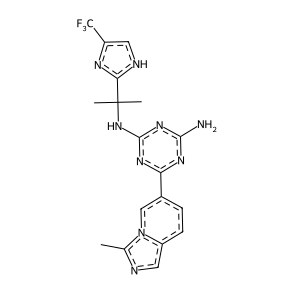 Cc1ncc2ccc(-c3nc(N)nc(NC(C)(C)c4nc(C(F)(F)F)c[nH]4)n3)cn12